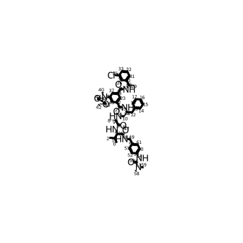 CC(C)[C@H](NC(=O)[C@H](C)NC[C@H](Cc1ccccc1)NC(=O)c1cc(C(=O)N[C@H](C)c2cccc(Cl)c2)cc(N(C)S(C)(=O)=O)c1)C(=O)NCc1ccc(NC(=O)N(C)C)cc1